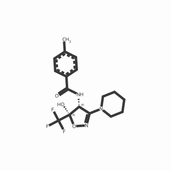 Cc1ccc(C(=O)N[C@@H]2C(N3CCCCC3)=NO[C@@]2(O)C(F)(F)F)cc1